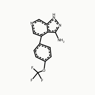 Nc1n[nH]c2cncc(-c3ccc(OC(F)(F)F)cc3)c12